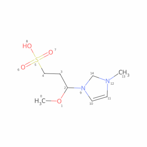 COC(CCS(=O)(=O)O)N1C=CN(C)C1